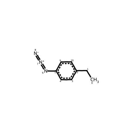 CCc1ccc(N=[N+]=[N-])cc1